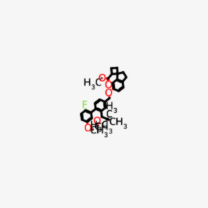 COC(=O)C1CCC12CCc1ccc(OCc3ccc(-c4cc(OC)ccc4F)c([C@@H](OC)C(C)(C)C)c3)cc12